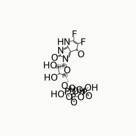 O=c1c(F)c(F)[nH]c2nc(=O)n([C@@H]3O[C@H](COP(=O)(O)OP(=O)(O)OP(=O)(O)O)C(O)[C@@H]3O)cc12